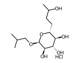 CC(C)CO[C@H]1O[C@H](CCC(C)O)[C@@H](O)[C@H](O)[C@H]1O.Cl